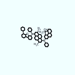 Cc1cc(N(c2ccccc2)c2cc3c4c(ccc5cccc(c54)C3(C)C)c2)c2ccc3c(C)cc(N(c4ccccc4)c4cccc5c4oc4c(-c6ccccc6)cccc45)c4ccc1c2c34